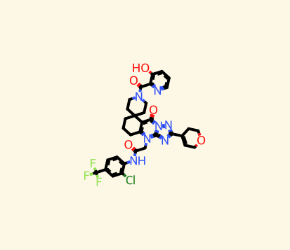 O=C(Cn1c2c(c(=O)n3nc(C4=CCOCC4)nc13)C1(CCC2)CCN(C(=O)c2ncccc2O)CC1)Nc1ccc(C(F)(F)F)cc1Cl